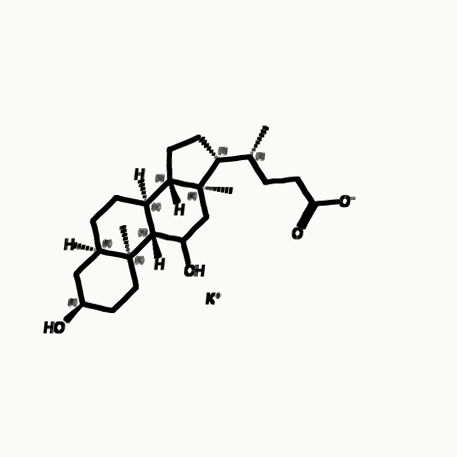 C[C@H](CCC(=O)[O-])[C@H]1CC[C@H]2[C@@H]3CC[C@@H]4C[C@H](O)CC[C@]4(C)[C@H]3C(O)C[C@]12C.[K+]